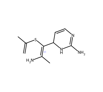 C=C(C)S/C(=C(/C)N)C1C=CN=C(N)N1